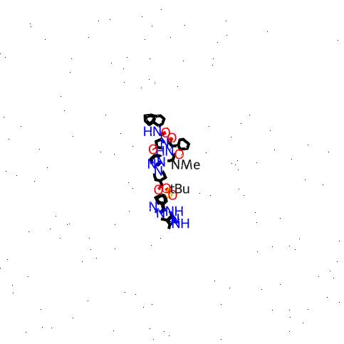 CN[C@@H](C)C(=O)N[C@H](C(=O)N1C[C@@H](Oc2cnc(N3CCC(COc4cc5ncnc(Nc6n[nH]c(C)c6C)c5cc4S(=O)(=O)C(C)(C)C)CC3)nc2)C[C@H]1C(=O)N[C@@H]1CCCc2ccccc21)C1CCCCC1